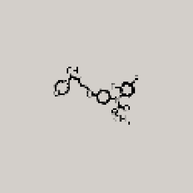 COC(=O)N(c1ccc(F)cc1F)C1CCC(OCCCC(C)N2CCOCC2)CC1